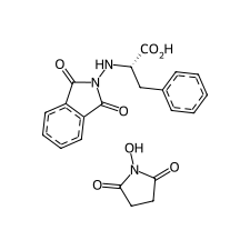 O=C(O)[C@H](Cc1ccccc1)NN1C(=O)c2ccccc2C1=O.O=C1CCC(=O)N1O